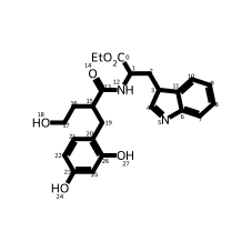 CCOC(=O)C(CC1C=Nc2ccccc21)NC(=O)C(CCO)Cc1ccc(O)cc1O